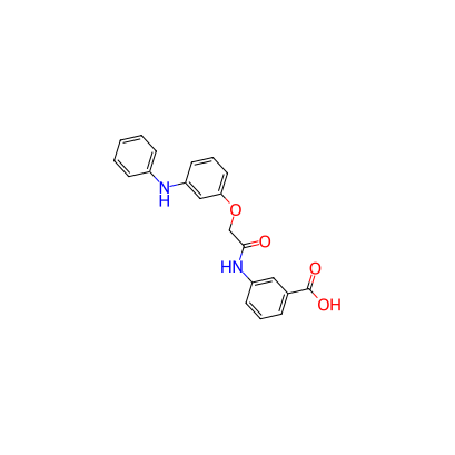 O=C(COc1cccc(Nc2ccccc2)c1)Nc1cccc(C(=O)O)c1